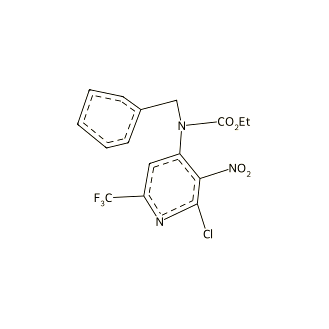 CCOC(=O)N(Cc1ccccc1)c1cc(C(F)(F)F)nc(Cl)c1[N+](=O)[O-]